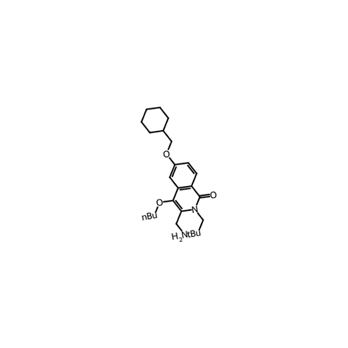 CCCCOc1c(CN)n(CC(C)(C)C)c(=O)c2ccc(OCC3CCCCC3)cc12